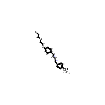 CNc1ccc(/C=N/N=C/c2ccc(OCCOCCF)cc2)cc1